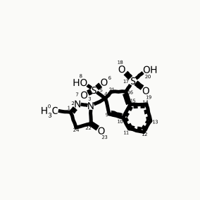 CC1=NN(C2(S(=O)(=O)O)C=c3ccccc3=C(S(=O)(=O)O)C2)C(=O)C1